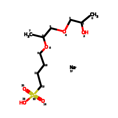 CC(O)COCC(C)OCCCCS(=O)(=O)O.[Na]